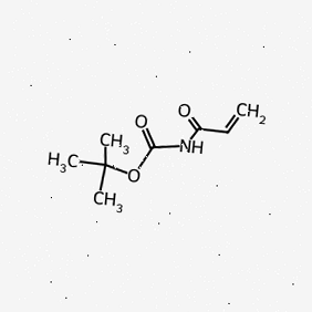 C=CC(=O)NC(=O)OC(C)(C)C